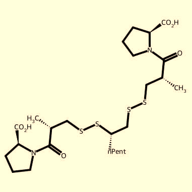 CCCCC[C@@H](CSSC[C@@H](C)C(=O)N1CCC[C@H]1C(=O)O)SSC[C@@H](C)C(=O)N1CCC[C@H]1C(=O)O